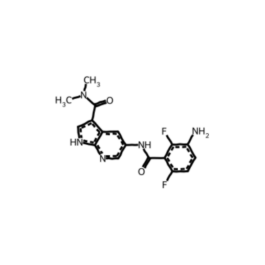 CN(C)C(=O)c1c[nH]c2ncc(NC(=O)c3c(F)ccc(N)c3F)cc12